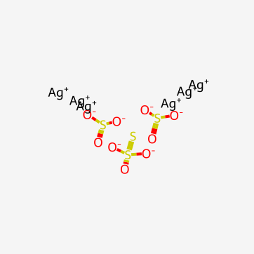 O=S([O-])([O-])=S.O=S([O-])[O-].O=S([O-])[O-].[Ag+].[Ag+].[Ag+].[Ag+].[Ag+].[Ag+]